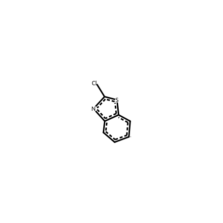 Clc1nc2cc[c]cc2s1